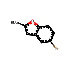 CCCCc1cc2cc(Br)ccc2o1